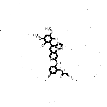 C=CC(=O)Nc1cc(F)ccc1Nc1cc2c(cn1)cc(-c1c(Cl)c(OC)cc(OC)c1Cl)c1ncnn12